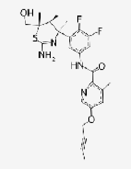 CC#CCOc1cnc(C(=O)Nc2cc(F)c(F)c([C@@]3(C)N=C(N)S[C@](C)(CO)[C@H]3C)c2)c(C)c1